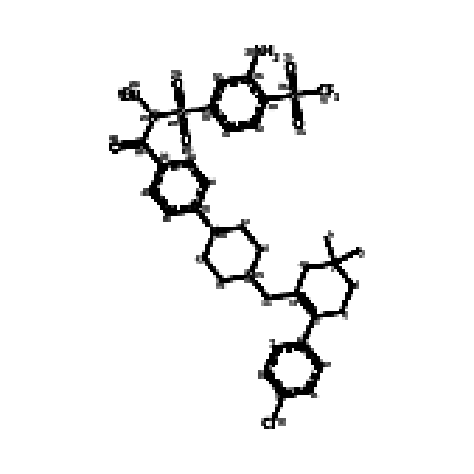 CC1(C)CCC(c2ccc(Cl)cc2)=C(CN2CCN(c3ccc(C(=O)N(C(C)(C)C)S(=O)(=O)c4ccc(S(=O)(=O)C(F)(F)F)c(N)c4)cc3)CC2)C1